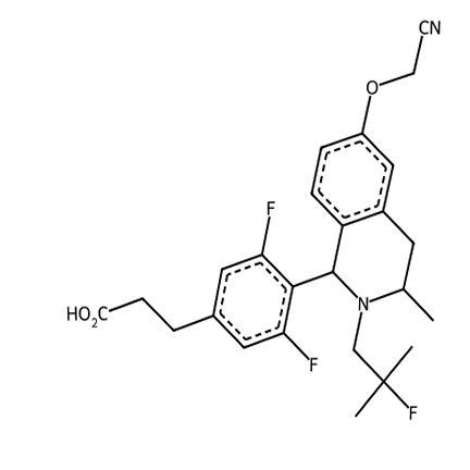 CC1Cc2cc(OCC#N)ccc2C(c2c(F)cc(CCC(=O)O)cc2F)N1CC(C)(C)F